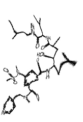 CC(C)CNC(=O)C(NC(=O)C(C)CC(O)C(CC(C)C)NC(=O)c1cc(C(=O)N(C)Cc2ccncc2)cc(N(C)S(C)(=O)=O)c1)C(C)C